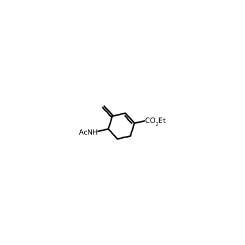 C=C1C=C(C(=O)OCC)CCC1NC(C)=O